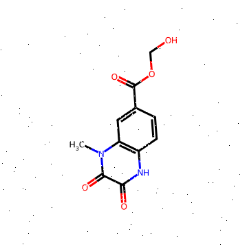 Cn1c(=O)c(=O)[nH]c2ccc(C(=O)OCO)cc21